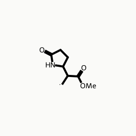 [CH2]C(C(=O)OC)C1CCC(=O)N1